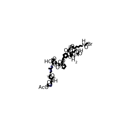 CC(=O)O[C@@H](C)/C=C\C(=O)N[C@@H]1C[C@H](C)[C@H](C/C=C(C)/C=C/[C@H]2O[C@H](CC(=O)N3CCCCN3C(=O)OCc3ccc(N(C(=O)[C@@H](NC(=O)CCCCCNC(=O)CBr)C(C)C)[C@@H](CCCNC(N)=O)C(N)=O)cc3)C[C@@]3(CO3)[C@@H]2O)O[C@@H]1C